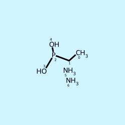 CCP(O)O.N.N